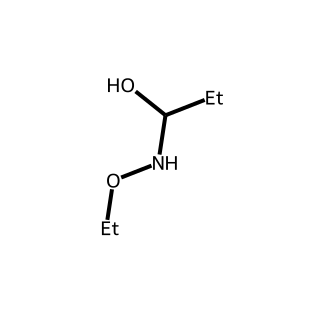 CCONC(O)CC